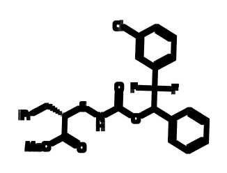 COC(=O)[C@H](CC(C)C)SNC(=O)OC(c1ccccc1)C(F)(F)c1cccc(Cl)c1